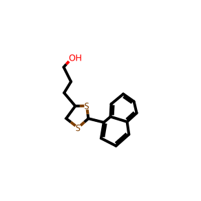 OCCCC1CSC(c2cccc3ccccc23)S1